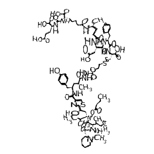 CCCC(=O)OCN(C(=O)[C@@H](NC(=O)[C@H]1CCCCN1C)C(C)CC)[C@H](C[C@@H](O)c1nc(C(=O)N[C@@H](Cc2ccc(O)cc2)C[C@H](C)C(=O)NNC(=O)OCCSSC[C@H](NC(=O)[C@H](Cc2ccccc2)NC(=O)[C@H](CC(=O)O)NC(=O)CC[C@@H](C)NC(=O)CCCC[C@H](NC(=O)N[C@@H](CCC(=O)O)C(=O)O)C(=O)O)C(=O)O)cs1)C(C)C